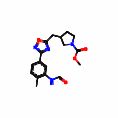 COC(=O)N1CCC(Cc2nc(-c3ccc(C)c(NC=O)c3)no2)C1